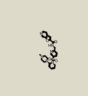 CN1CCN(C2=CC=CCN2S(=O)(=O)c2ccc(CNC(=O)c3cc4ccncc4o3)nc2)CC1